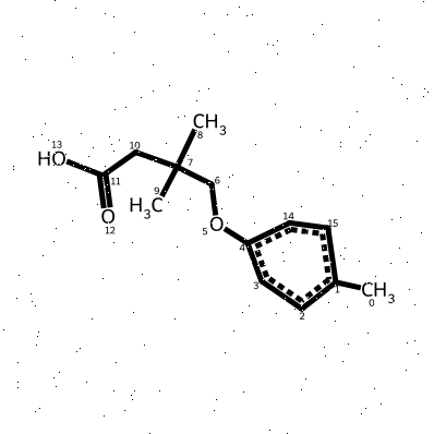 Cc1ccc(OCC(C)(C)CC(=O)O)cc1